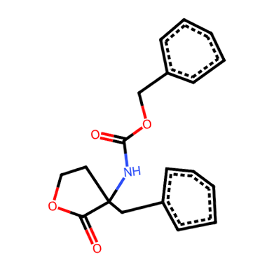 O=C(NC1(Cc2ccccc2)CCOC1=O)OCc1ccccc1